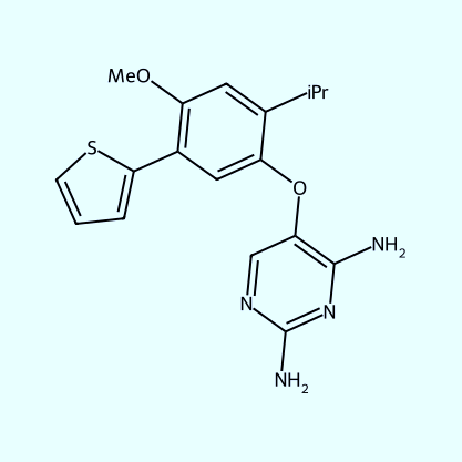 COc1cc(C(C)C)c(Oc2cnc(N)nc2N)cc1-c1cccs1